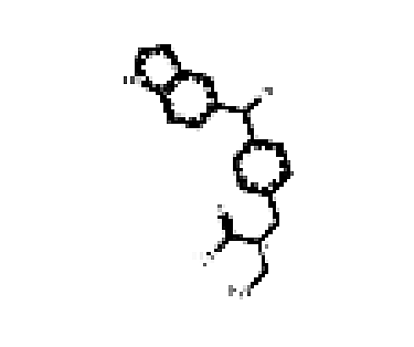 NC[C@H](Cc1ccc(C(O)c2ccc3[nH]ccc3c2)cc1)C(N)=O